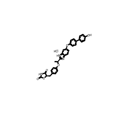 CC(Oc1ccc(CC2SC(=O)NC2=O)cc1)c1nc2ccc(Oc3ccc(-c4ccc(O)cc4)cc3)cc2[nH]1.Cl